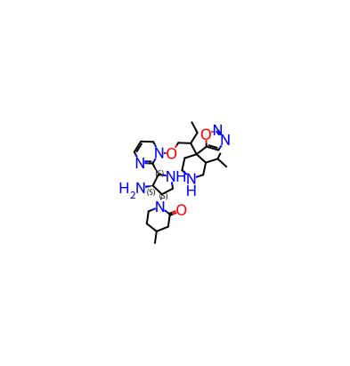 CCC(CON1CC=CN=C1[C@H]1NC[C@H](N2CCC(C)CC2=O)[C@H]1N)C1(c2cnno2)CCNCC1C(C)C